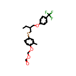 CCC(COc1ccc(C(F)(F)F)cc1)CSc1ccc(OCOC=O)c(C)c1